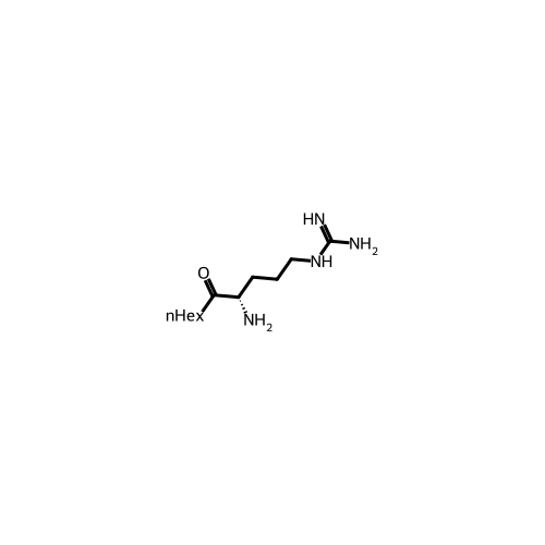 CCC[CH]CCC(=O)[C@@H](N)CCCNC(=N)N